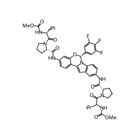 COC(=O)NC(C(=O)N1CCC[C@H]1C(=O)Nc1ccc2c(c1)cc1n2[C@H](c2cc(F)c(F)c(F)c2)Oc2cc(NC(=O)[C@@H]3CCCN3C(=O)[C@@H](NC(=O)OC)C(C)C)ccc2-1)C(C)C